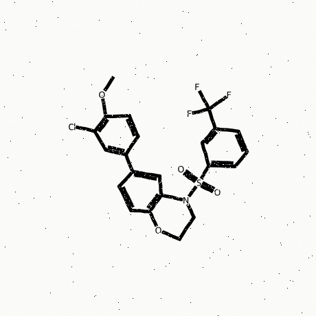 COc1ccc(-c2ccc3c(c2)N(S(=O)(=O)c2cccc(C(F)(F)F)c2)CCO3)cc1Cl